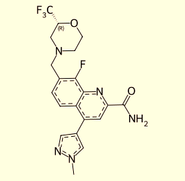 Cn1cc(-c2cc(C(N)=O)nc3c(F)c(CN4CCO[C@@H](C(F)(F)F)C4)ccc23)cn1